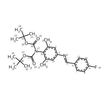 Cc1cc(/N=C/c2ccc(F)cc2)cc(C)c1N(C(=O)OC(C)(C)C)C(=O)OC(C)(C)C